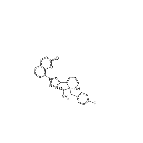 NC(=O)C1(Cc2ccc(F)cc2)NC=CC=C1c1cn(-c2cccc3ccc(=O)oc23)nn1